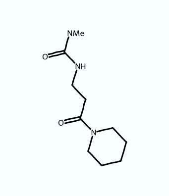 CNC(=O)NCCC(=O)N1CCCCC1